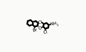 Nc1cc(Cl)c(Oc2ccc3ccccc3c2Br)c(Cl)c1